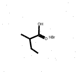 Br.CCC(C)C(=O)O